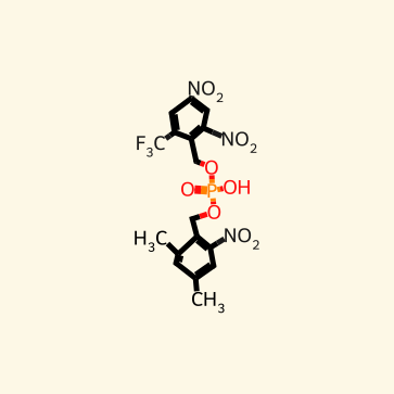 Cc1cc(C)c(COP(=O)(O)OCc2c([N+](=O)[O-])cc([N+](=O)[O-])cc2C(F)(F)F)c([N+](=O)[O-])c1